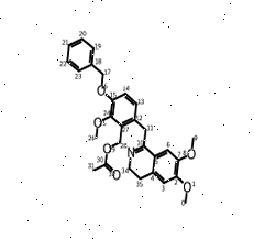 COc1cc2c(cc1OC)C(Cc1ccc(OCc3ccccc3)c(OC)c1COC(C)=O)=NCC2